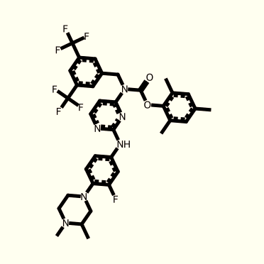 Cc1cc(C)c(OC(=O)N(Cc2cc(C(F)(F)F)cc(C(F)(F)F)c2)c2ccnc(Nc3ccc(N4CCN(C)C(C)C4)c(F)c3)n2)c(C)c1